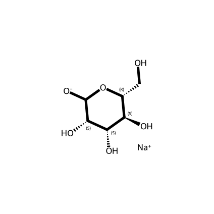 [Na+].[O-]C1O[C@H](CO)[C@@H](O)[C@H](O)[C@@H]1O